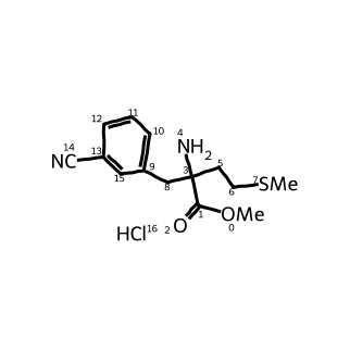 COC(=O)C(N)(CCSC)Cc1cccc(C#N)c1.Cl